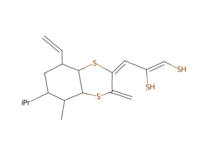 C=CC1CC(C(C)C)C(C)C2SC(=C)/C(=C\C(S)=C\S)SC12